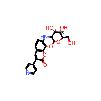 O=c1oc2cc(NC3C(O)OC(CO)[C@H](O)[C@H]3O)ccc2cc1-c1ccncc1